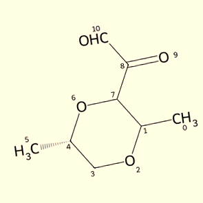 CC1OC[C@H](C)OC1C(=O)C=O